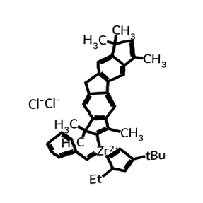 CCC1C=C(C(C)(C)C)C=[C]1[Zr+2](=[CH]c1ccccc1)[C]1=C(C)c2cc3c(cc2C1(C)C)Cc1cc2c(cc1-3)C(C)=CC2(C)C.[Cl-].[Cl-]